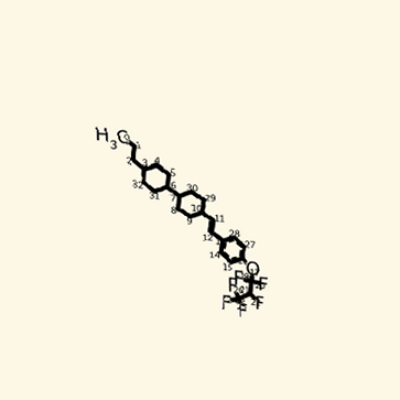 CCCC1CCC(C2CCC(C=Cc3ccc(OC(F)(F)C(F)C(F)(F)F)cc3)CC2)CC1